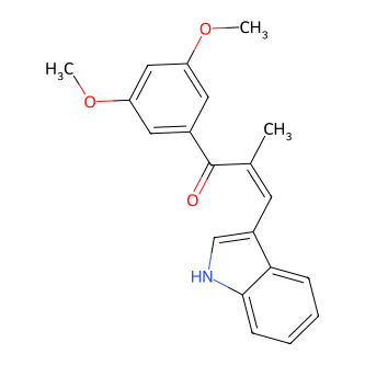 COc1cc(OC)cc(C(=O)C(C)=Cc2c[nH]c3ccccc23)c1